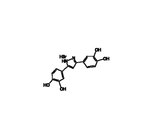 Br.Oc1ccc(-c2cc(-c3ccc(O)c(O)c3)[nH]n2)cc1O